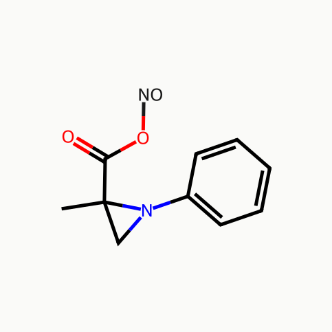 CC1(C(=O)ON=O)CN1c1ccccc1